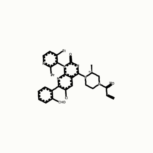 C=CC(=[18O])N1CCN(c2nc(=O)n(-c3c(CC)ccnc3C(C)C)c3nc(-c4ccccc4C=O)c(Cl)cc23)[C@@H](C)C1